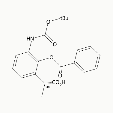 C[C@@H](C(=O)O)c1cccc(NC(=O)OC(C)(C)C)c1OC(=O)c1ccccc1